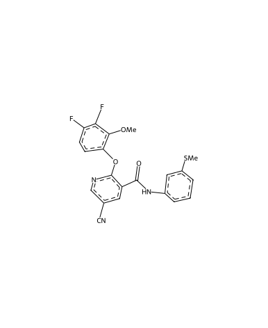 COc1c(Oc2ncc(C#N)cc2C(=O)Nc2cccc(SC)c2)ccc(F)c1F